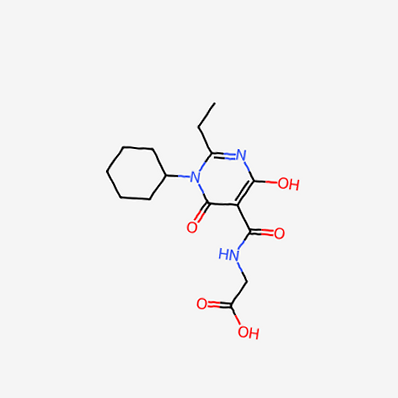 CCc1nc(O)c(C(=O)NCC(=O)O)c(=O)n1C1CCCCC1